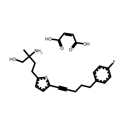 CC(N)(CO)CCc1ccc(C#CCCCc2ccc(F)cc2)s1.O=C(O)/C=C\C(=O)O